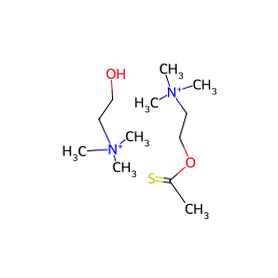 CC(=S)OCC[N+](C)(C)C.C[N+](C)(C)CCO